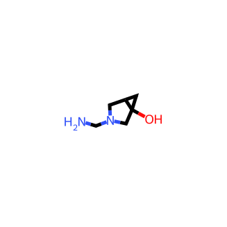 NCN1CC2CC2(O)C1